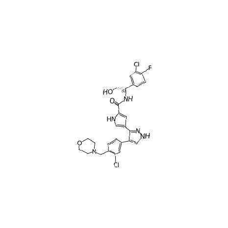 O=C(N[C@H](CO)c1ccc(F)c(Cl)c1)c1cc(-c2n[nH]cc2-c2ccc(CN3CCOCC3)c(Cl)c2)c[nH]1